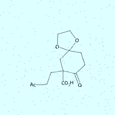 CC(=O)CCC1(C(=O)O)CC2(CCC1=O)OCCO2